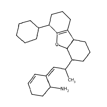 CC(/C=C1/C=CCCC1N)C1CCCC2C3=C(OC21)C(C1CCCCC1)CCC3